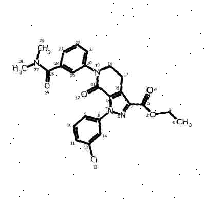 CCOC(=O)c1nn(-c2cccc(Cl)c2)c2c1CCN(c1cccc(C(=O)N(C)C)c1)C2=O